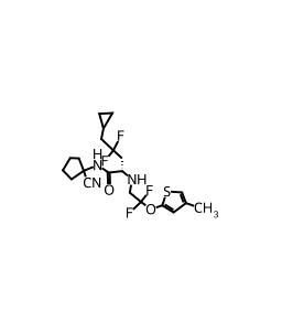 Cc1csc(OC(F)(F)CN[C@@H](CC(F)(F)CC2CC2)C(=O)NC2(C#N)CCCC2)c1